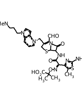 CNCCCn1ccc2c1ccc[n+]2CC1=C(C=O)N2C(=O)C(NC(=O)/C(=N\OC(C)(C)C(=O)O)c3nc(N)sc3C)C2SC1